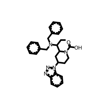 CCC(C1CC(n2nnc3ccccc32)CCN1C(=O)O)N(Cc1ccccc1)Cc1ccccc1